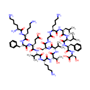 CC(C)C[C@H](NC(=O)[C@H](CCCCN)NC(=O)CNC(=O)[C@H](CO)NC(=O)[C@@H](NC(=O)[C@@H](NC(=O)[C@H](CCCCN)NC(=O)[C@@H](NC(=O)[C@H](CCC(=O)O)NC(=O)[C@H](Cc1ccccc1)NC(=O)[C@H](CCCCN)NC(=O)[C@@H](N)CCCCN)C(C)C)[C@@H](C)O)C(C)C)C(=O)N[C@@H](CC(C)C)C(=O)N[C@@H](Cc1ccccc1)C(=O)N[C@@H](CO)C(=O)O